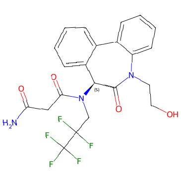 NC(=O)CC(=O)N(CC(F)(F)C(F)(F)F)[C@@H]1C(=O)N(CCO)c2ccccc2-c2ccccc21